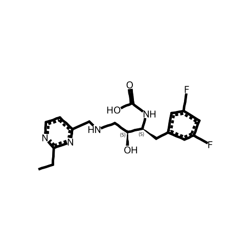 CCc1nccc(CNC[C@H](O)[C@H](Cc2cc(F)cc(F)c2)NC(=O)O)n1